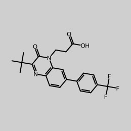 CC(C)(C)c1nc2ccc(-c3ccc(C(F)(F)F)cc3)cc2n(CCC(=O)O)c1=O